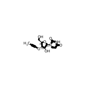 CC#CO[C@H]1[C@@H](O)[C@H](n2ccc(=O)[nH]c2=O)O[C@@H]1CO